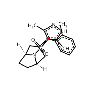 Cc1ccccc1O[C@H]1C[C@H]2CC[C@@H](C1)N2S(=O)(=O)c1c(C)n[nH]c1C